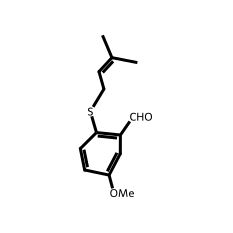 COc1ccc(SCC=C(C)C)c(C=O)c1